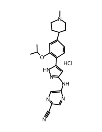 CC(C)Oc1cc(C2CCN(C)CC2)ccc1-c1cc(Nc2cnc(C#N)cn2)n[nH]1.Cl